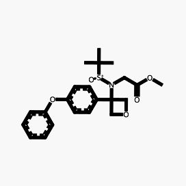 COC(=O)CN([S@+]([O-])C(C)(C)C)C1(c2ccc(Oc3ccccc3)cc2)COC1